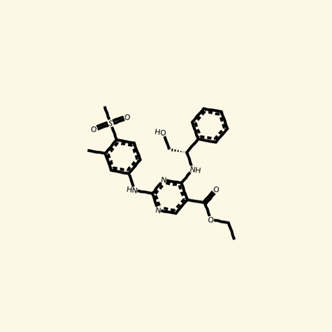 CCOC(=O)c1cnc(Nc2ccc(S(C)(=O)=O)c(C)c2)nc1N[C@H](CO)c1ccccc1